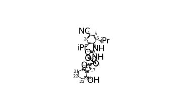 CC(C)c1cc(C#N)cc(C(C)C)c1NC(=O)NS(=O)(=O)c1cc2c(o1)CCCC2O